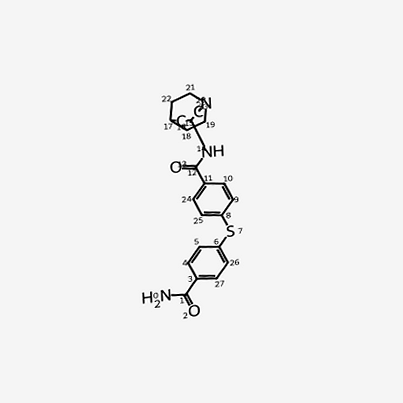 NC(=O)c1ccc(Sc2ccc(C(=O)NC3CC4CCN(CC4)C3)cc2)cc1